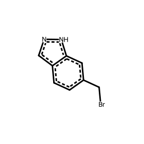 BrCc1ccc2cn[nH]c2c1